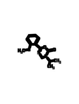 CSc1ccccc1C1=NCN(C(C)C)C(=O)O1